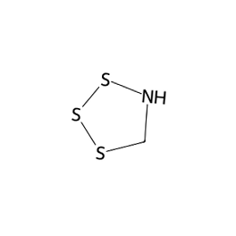 C1NSSS1